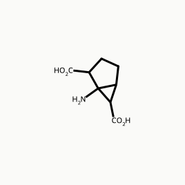 NC12C(C(=O)O)CCC1C2C(=O)O